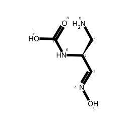 NC[C@@H](/C=N/O)NC(=O)O